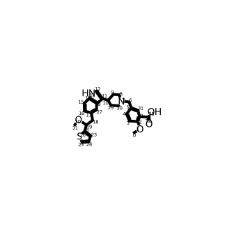 COc1ccc(CN2CCC(c3c[nH]c4ccc(CC(OC)c5cccs5)cc34)CC2)cc1C(=O)O